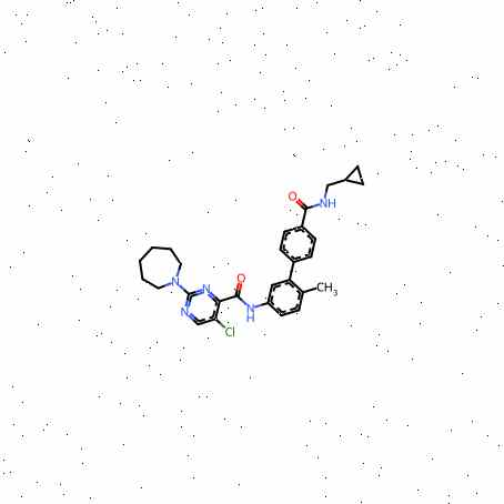 Cc1ccc(NC(=O)c2nc(N3CCCCCC3)ncc2Cl)cc1-c1ccc(C(=O)NCC2CC2)cc1